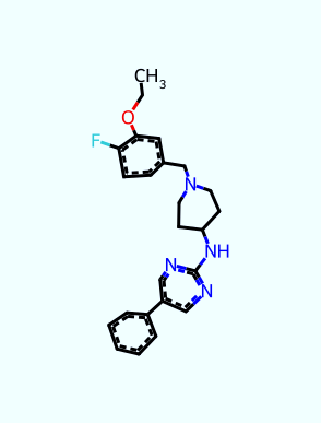 CCOc1cc(CN2CCC(Nc3ncc(-c4ccccc4)cn3)CC2)ccc1F